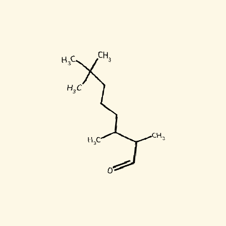 CC(C=O)C(C)CCCC(C)(C)C